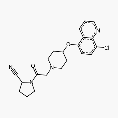 N#CC1CCCN1C(=O)CN1CCC(Oc2ccc(Cl)c3ncccc23)CC1